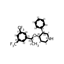 C[C@H](O[C@@H]1CCNC[C@@H]1c1ccccc1)c1cc(C(F)(F)F)cc(C(F)(F)F)c1